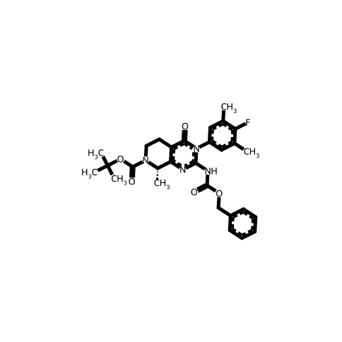 Cc1cc(-n2c(NC(=O)OCc3ccccc3)nc3c(c2=O)CCN(C(=O)OC(C)(C)C)[C@H]3C)cc(C)c1F